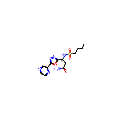 CCCCS(=O)(=O)N[C@@H](CC(N)=O)c1nnc(-c2cnccn2)o1